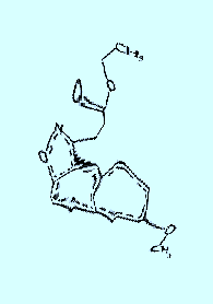 CCOC(=O)Cc1noc2ccc3cc(OC)ccc3c12